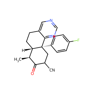 C[C@@H]1C(=O)C(C#N)C[C@]2(c3ccc(F)cc3)c3ncncc3CC[C@@H]12